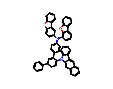 C1=C(c2ccc(N(c3ccc4oc5ccccc5c4c3)c3cccc4c3oc3ccccc34)cc2)C(n2c3ccccc3c3cc4ccccc4cc32)=CCC1c1ccccc1